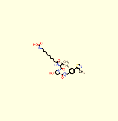 Cc1ncsc1-c1ccc(CNC(=O)[C@@H]2C[C@@H](O)CN2C(=O)[C@@H](NC(=O)CCCCCCCCNC(=O)O)C(C)(C)C)cc1